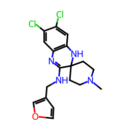 CN1CCC2(CC1)Nc1cc(Cl)c(Cl)cc1N=C2NCc1ccoc1